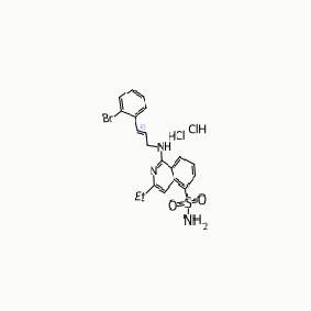 CCc1cc2c(S(N)(=O)=O)cccc2c(NC/C=C/c2ccccc2Br)n1.Cl.Cl